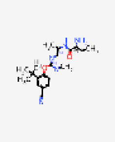 C=N/C(=N\C=C(/C)NC(=O)[C@H](N)CC)Oc1ccc(C#N)cc1C(C)(C)C